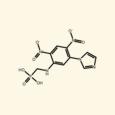 O=[N+]([O-])c1cc([N+](=O)[O-])c(-n2ccnc2)cc1NCP(=O)(O)O